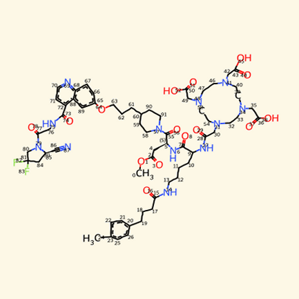 COC(=O)C[C@H](NC(=O)C(CCCCNC(=O)CCCc1ccc(C)cc1)NC(=O)CN1CCN(CC(=O)O)CCN(CC(=O)O)CCN(CC(=O)O)CC1)C(=O)N1CCC(CCCOc2ccc3nccc(C(=O)NCC(=O)N4CC(F)(F)C[C@@H]4C#N)c3c2)CC1